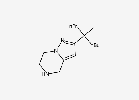 CCCCC(C)(CCC)c1cc2n(n1)CCNC2